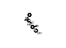 Cc1nn(-c2ccccc2)c2sc(C(=O)Nc3ccc(N4CCC(O)CC4)c(C#N)c3)cc12